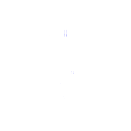 Cc1ncnc2c1ccn2-c1ccc2c(c1)CNC2=O